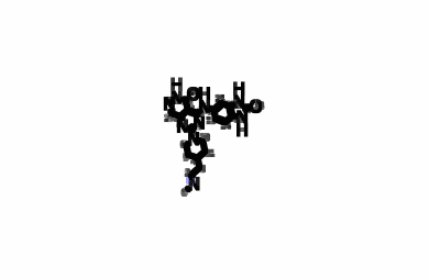 C/N=C/CC1CCN(c2nc(Nc3ccc4[nH]c(=O)[nH]c4c3)c3c(=O)[nH]ncc3n2)CC1